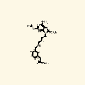 CCCCOc1nc(N)c2nc(OC)n(CCCCNCc3cccc(CC(=O)OC)c3)c2n1